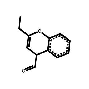 CCC1=CC(C=O)c2ccccc2O1